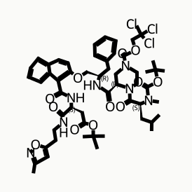 Cc1cc(CCNC(=O)[C@H](CC(=O)OC(C)(C)C)NC(=O)c2c(OC[C@@H](Cc3ccccc3)NC(=O)[C@H]3CN(C(=O)OCC(Cl)(Cl)Cl)CCN3C(=O)[C@H](CC(C)C)N(C)C(=O)OC(C)(C)C)ccc3ccccc23)on1